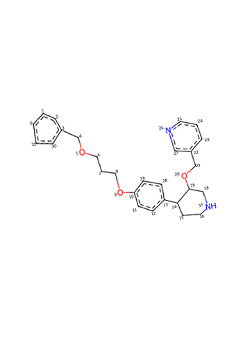 c1ccc(COCCCOc2ccc(C3CCNCC3OCc3cccnc3)cc2)cc1